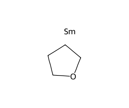 C1CCOC1.[Sm]